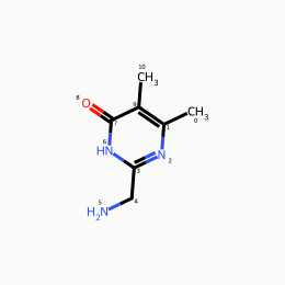 Cc1nc(CN)[nH]c(=O)c1C